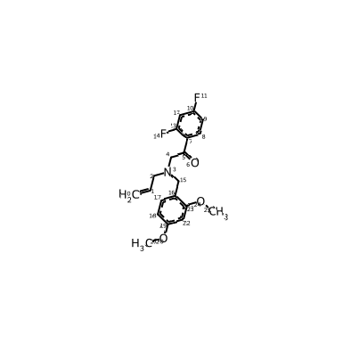 C=CCN(CC(=O)c1ccc(F)cc1F)Cc1ccc(OC)cc1OC